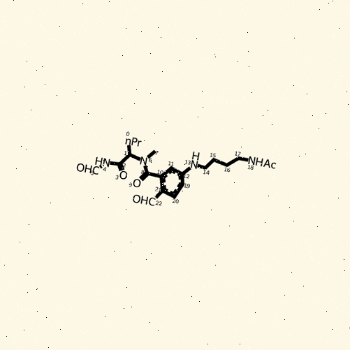 CCCC(C(=O)NC=O)N(C)C(=O)c1cc(NCCCCNC(C)=O)ccc1C=O